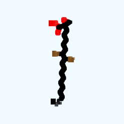 CCCCCCCCCC(Br)C(Br)CCCCCC1(C(=O)O)CO1